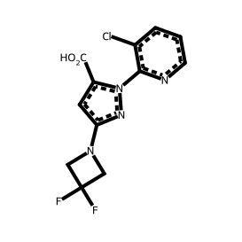 O=C(O)c1cc(N2CC(F)(F)C2)nn1-c1ncccc1Cl